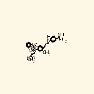 COC(=O)CCN(c1cc(C)c(CCCNc2ccc(C(=N)N)cc2)cc1C)S(=O)(=O)c1ccccc1